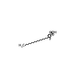 CCCCCCCCCCCCCCCCCCc1ccc(S(=O)(=O)O)cc1F